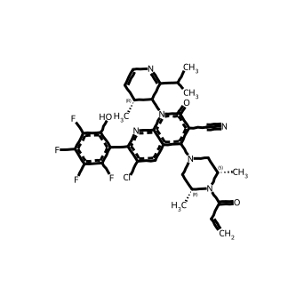 C=CC(=O)N1[C@H](C)CN(c2c(C#N)c(=O)n(C3C(C(C)C)=NC=C[C@H]3C)c3nc(-c4c(O)c(F)c(F)c(F)c4F)c(Cl)cc23)C[C@@H]1C